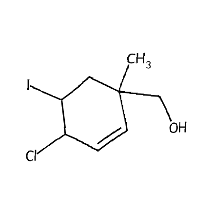 CC1(CO)C=CC(Cl)C(I)C1